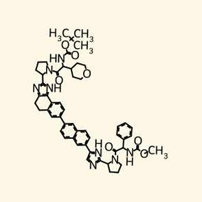 COC(=O)NC(C(=O)N1CCCC1c1ncc(-c2ccc3cc(-c4ccc5c(c4)CCc4nc(C6CCCN6C(=O)C(NC(=O)OC(C)(C)C)C6CCOCC6)[nH]c4-5)ccc3c2)[nH]1)c1ccccc1